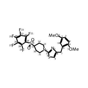 COc1ccc(OC)c(Cc2csc(N3CCC(S(=O)(=O)c4c(F)c(F)c(F)c(F)c4F)CC3)n2)c1